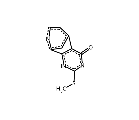 CSc1nc(=O)c2c([nH]1)-c1cc-2ccn1